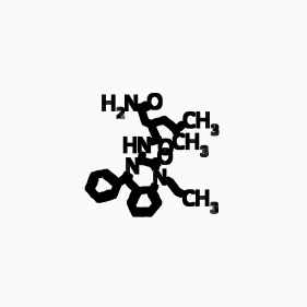 CCCN1C(=O)C(NC(=O)C(CC(N)=O)CC(C)C)N=C(c2ccccc2)c2ccccc21